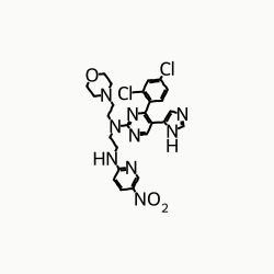 O=[N+]([O-])c1ccc(NCCN(CCN2CCOCC2)c2ncc(-c3cnc[nH]3)c(-c3ccc(Cl)cc3Cl)n2)nc1